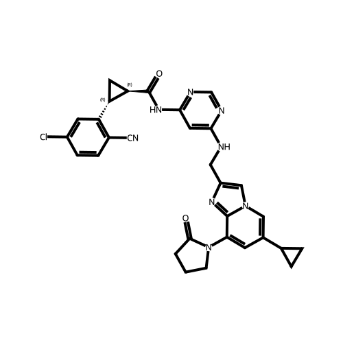 N#Cc1ccc(Cl)cc1[C@@H]1C[C@H]1C(=O)Nc1cc(NCc2cn3cc(C4CC4)cc(N4CCCC4=O)c3n2)ncn1